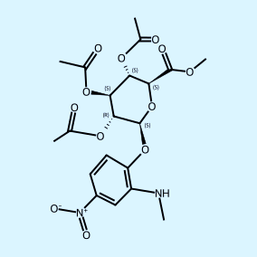 CNc1cc([N+](=O)[O-])ccc1O[C@@H]1O[C@H](C(=O)OC)[C@@H](OC(C)=O)[C@H](OC(C)=O)[C@H]1OC(C)=O